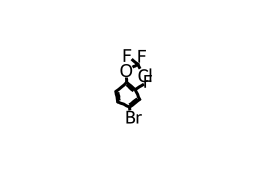 Fc1cc(Br)ccc1OC(F)(F)Cl